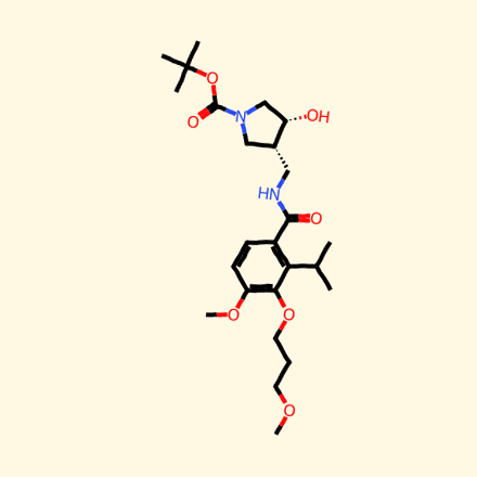 COCCCOc1c(OC)ccc(C(=O)NC[C@@H]2CN(C(=O)OC(C)(C)C)C[C@@H]2O)c1C(C)C